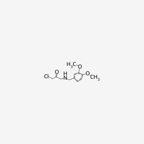 COc1ccc(CNCC(=O)CCl)cc1OC